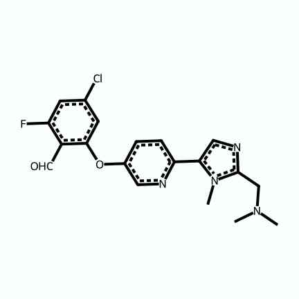 CN(C)Cc1ncc(-c2ccc(Oc3cc(Cl)cc(F)c3C=O)cn2)n1C